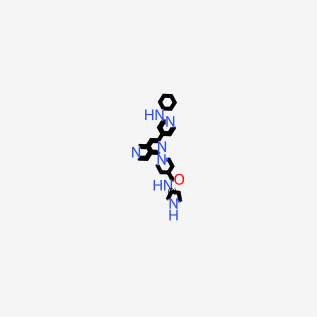 O=C(N[C@@H]1CCNC1)C1CCN(c2nc(-c3ccnc(NC4CCCCC4)c3)cc3cnccc23)CC1